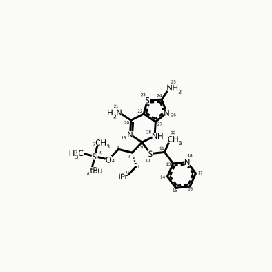 CC(C)C[C@H](CO[Si](C)(C)C(C)(C)C)C1(SC(C)c2ccccn2)N=C(N)c2sc(N)nc2N1